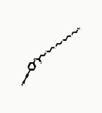 N#CC#Cc1ccc(NC(=O)CCOCCOCCOCCOCCN)cc1